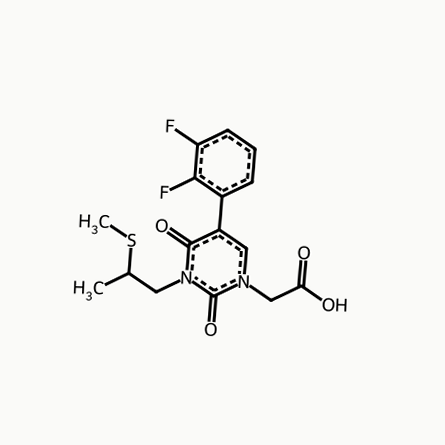 CSC(C)Cn1c(=O)c(-c2cccc(F)c2F)cn(CC(=O)O)c1=O